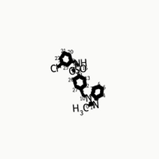 Cc1nc2ccccc2n1Cc1ccc(S(=O)(=O)Nc2cccc(Cl)c2)cc1